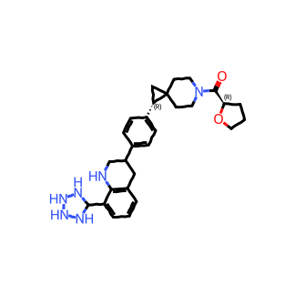 O=C([C@H]1CCCO1)N1CCC2(CC1)C[C@H]2c1ccc(C2CNc3c(cccc3C3NNNN3)C2)cc1